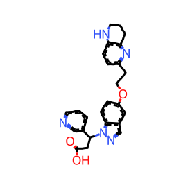 O=C(O)CC(c1cccnc1)n1ncc2cc(OCCc3ccc4c(n3)CCCN4)ccc21